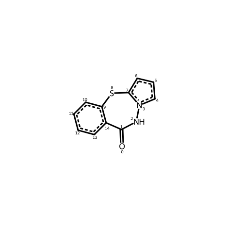 O=C1Nn2cccc2Sc2ccccc21